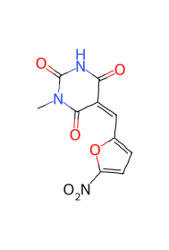 CN1C(=O)NC(=O)C(=Cc2ccc([N+](=O)[O-])o2)C1=O